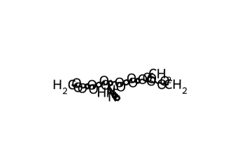 C=CC(=O)OCCCCOCC(COc1ccc(OC(=O)C2CCC(C(=O)OCCc3ccc(OC(=O)C4CCC(C(=O)Oc5ccc(OCOC(=O)C=C)cc5)CC4)c(/C=N/Nc4nc5ccccc5s4)c3)CC2)cc1)OC(=O)C=C